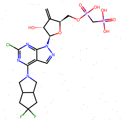 C=C1[C@@H](O)[C@H](n2ncc3c(N4CC5CC(F)(F)CC5C4)nc(Cl)nc32)O[C@@H]1COP(=O)(O)CP(=O)(O)O